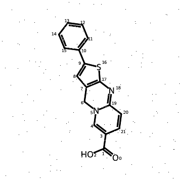 O=C(O)C1=CN2Cc3cc(-c4ccccc4)sc3N=C2C=C1